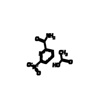 CC(=O)O.NC(=O)c1cccc([N+](=O)[O-])n1